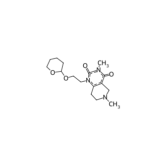 CN1CCc2c(c(=O)n(C)c(=O)n2CCOC2CCCCO2)C1